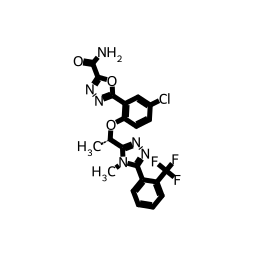 C[C@H](Oc1ccc(Cl)cc1-c1nnc(C(N)=O)o1)c1nnc(-c2ccccc2C(F)(F)F)n1C